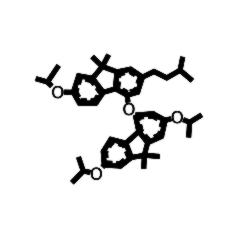 CC(C)CCc1cc(Oc2cc(OC(C)C)cc3c2-c2ccc(OC(C)C)cc2C3(C)C)c2c(c1)C(C)(C)c1cc(OC(C)C)ccc1-2